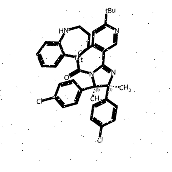 CCOc1cc(C(C)(C)C)ncc1C1=N[C@@](C)(c2ccc(Cl)cc2)[C@@](C)(c2ccc(Cl)cc2)N1C(=O)N1CCCNc2ccccc21